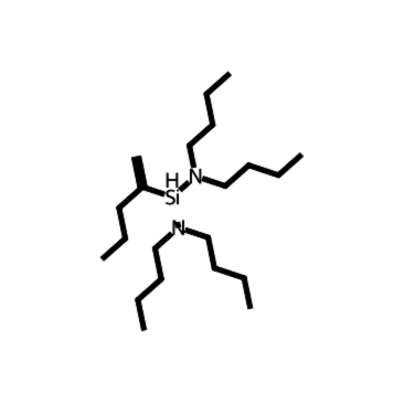 C=C(CCC)[SiH](N(CCCC)CCCC)N(CCCC)CCCC